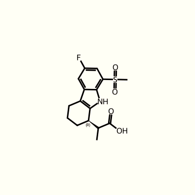 CC(C(=O)O)[C@H]1CCCc2c1[nH]c1c(S(C)(=O)=O)cc(F)cc21